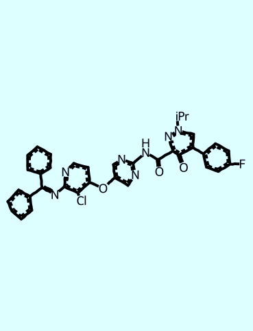 CC(C)n1cc(-c2ccc(F)cc2)c(=O)c(C(=O)Nc2ncc(Oc3ccnc(N=C(c4ccccc4)c4ccccc4)c3Cl)cn2)n1